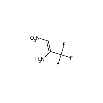 NC(=C[N+](=O)[O-])C(F)(F)F